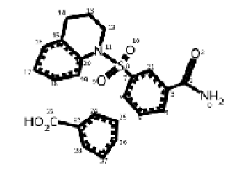 NC(=O)c1cccc(S(=O)(=O)N2CCCc3ccccc32)c1.O=C(O)c1ccccc1